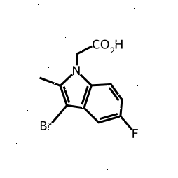 Cc1c(Br)c2cc(F)ccc2n1CC(=O)O